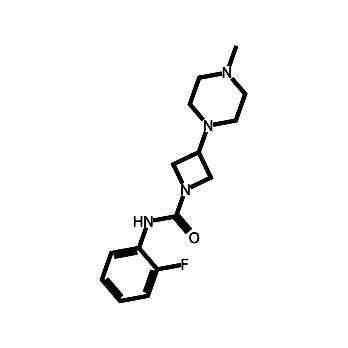 CN1CCN(C2CN(C(=O)Nc3ccccc3F)C2)CC1